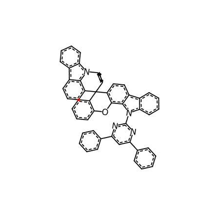 c1ccc(-c2cc(-c3ccccc3)nc(-n3c4ccccc4c4ccc5c(c43)Oc3ccccc3C53c4ccccc4-n4c5ccccc5c5cccc3c54)n2)cc1